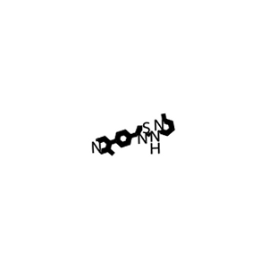 Cc1cccc(Nc2nc(-c3ccc(-c4ccncc4C)cc3)cs2)n1